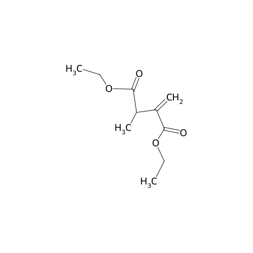 C=C(C(=O)OCC)C(C)C(=O)OCC